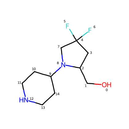 OCC1CC(F)(F)CN1C1CCNCC1